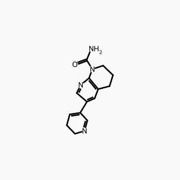 NC(=O)N1CCCc2cc(C3=CCCN=C3)cnc21